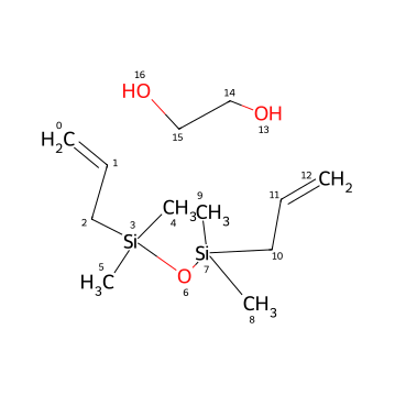 C=CC[Si](C)(C)O[Si](C)(C)CC=C.OCCO